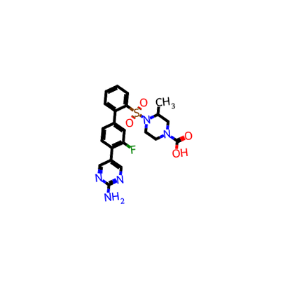 CC1CN(C(=O)O)CCN1S(=O)(=O)c1ccccc1-c1ccc(-c2cnc(N)nc2)c(F)c1